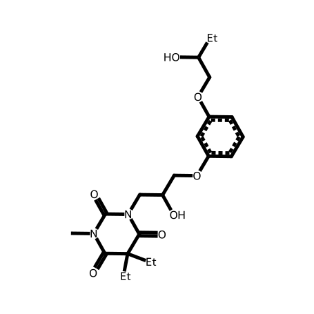 CCC(O)COc1cccc(OCC(O)CN2C(=O)N(C)C(=O)C(CC)(CC)C2=O)c1